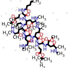 C=CCCC(=O)N[C@@H](CCC(=O)OC(C)(C)C)C(=O)NC(CC(=O)[C@H](C)NC)C(=O)N(CC=C)C(CC(=O)[C@H](C)NC)C(=O)NC(CC(=O)[C@H](C)NC)C(=O)NC(CC(=O)[C@H](C)NC)C(=O)N[C@@H](CCC(=O)OC(C)(C)C)C(=O)NC(CC(=O)[C@H](C)NC)C(=O)OC